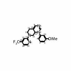 COc1cccc(N2C=NC=C3CCN(c4cc(C(F)(F)F)ccn4)CC32)c1